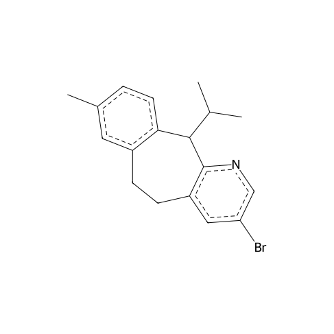 Cc1ccc2c(c1)CCc1cc(Br)cnc1C2C(C)C